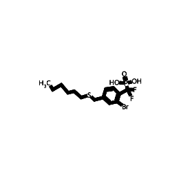 CCCCCCSCc1ccc(C(F)(F)P(=O)(O)O)c(Br)c1